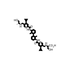 Cc1c(NC(=O)c2cc(C3CC3)c(CN[C@H](C)CO)cn2)cccc1-c1cccc(NC(=O)c2cc(C3CC3)c(CN[C@H](CO)C(=O)O)cn2)c1C